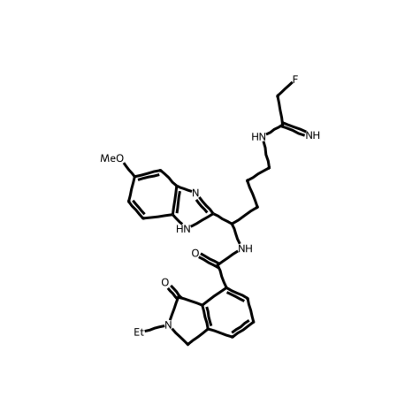 CCN1Cc2cccc(C(=O)NC(CCCNC(=N)CF)c3nc4cc(OC)ccc4[nH]3)c2C1=O